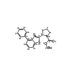 CC(C)(C)OC(=O)N1CCCC1c1nc2c(-c3ccccc3)cccc2s1